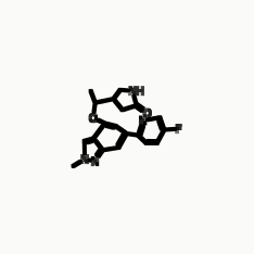 CC(Oc1cc(-c2ccc(F)cn2)cc2nn(C)cc12)C1CNC(=O)C1